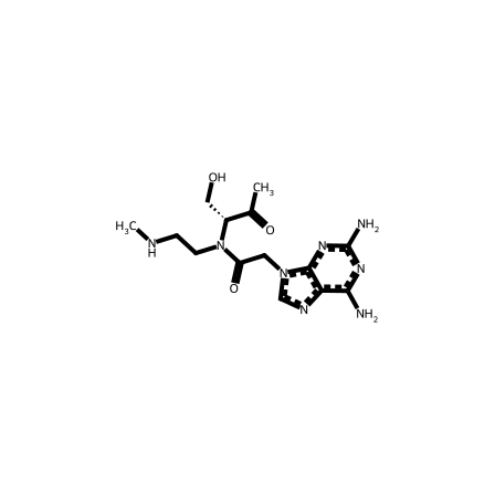 CNCCN(C(=O)Cn1cnc2c(N)nc(N)nc21)[C@H](CO)C(C)=O